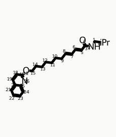 CC(C)CNC(=O)C=CC=CCCCCCCCOc1ccc2ccccc2n1